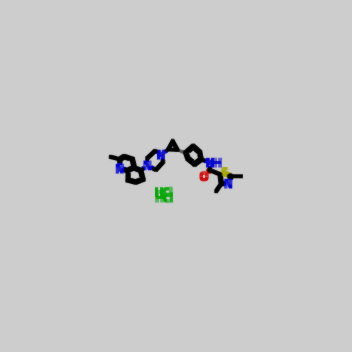 Cc1ccc2c(N3CCN([C@H]4C[C@@H]4c4ccc(NC(=O)c5sc(C)nc5C)cc4)CC3)cccc2n1.Cl.Cl